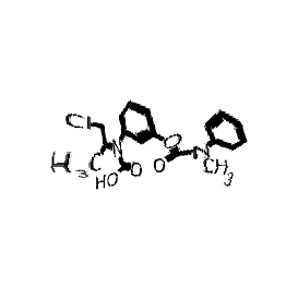 CC(CCl)N(C(=O)O)c1cccc(OC(=O)N(C)c2ccccc2)c1